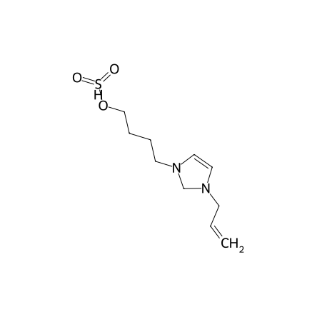 C=CCN1C=CN(CCCCO[SH](=O)=O)C1